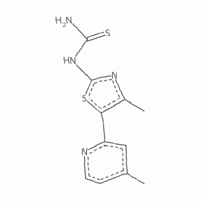 Cc1ccnc(-c2sc(NC(N)=S)nc2C)c1